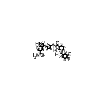 C=C1C(C(=O)NCc2ccc(-c3c[nH]c4ncc(C(N)=O)cc34)s2)=CC=CN1Cc1ccc(F)c(F)c1